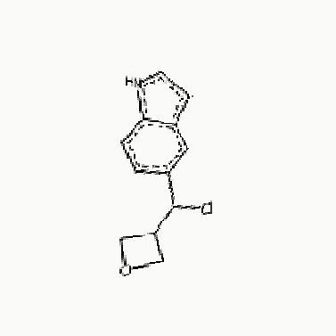 ClC(c1ccc2[nH]c[c]c2c1)C1COC1